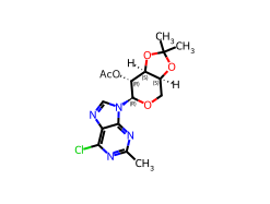 CC(=O)O[C@@H]1[C@H]2OC(C)(C)O[C@H]2CO[C@H]1n1cnc2c(Cl)nc(C)nc21